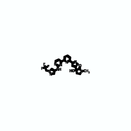 CN1CCC(O)(c2cc(-c3cccc(-c4ccnc(Nc5cnn(CC(F)(F)F)c5)n4)n3)no2)C1=O